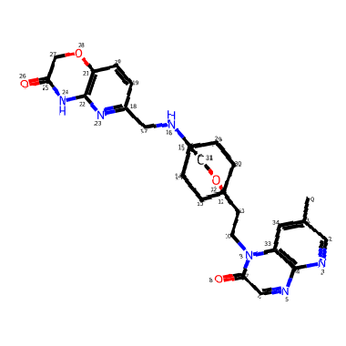 Cc1cnc2ncc(=O)n(CCC34CCC(NCc5ccc6c(n5)NC(=O)CO6)(CC3)CO4)c2c1